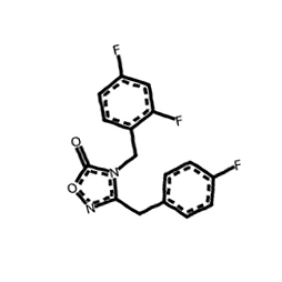 O=c1onc(Cc2ccc(F)cc2)n1Cc1ccc(F)cc1F